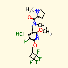 COc1nc(OCC2CC(F)(F)C2(F)F)c(F)cc1CN(C)C(=O)[C@@H]1CCCN1C.Cl